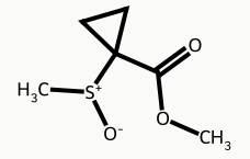 COC(=O)C1([S+](C)[O-])CC1